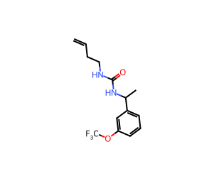 C=CCCNC(=O)NC(C)c1cccc(OC(F)(F)F)c1